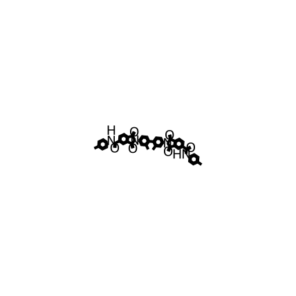 Cc1ccc(NC(=O)c2ccc3c(c2)C(=O)N(c2ccc(-c4ccc(N5C(=O)c6ccc(C(=O)Nc7ccc(C)cc7)cc6C5=O)cc4C)c(C)c2)C3=O)cc1